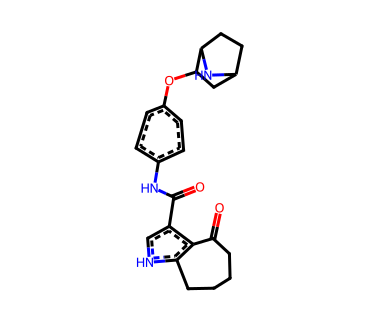 O=C(Nc1ccc(OC2CC3CCC2N3)cc1)c1c[nH]c2c1C(=O)CCCC2